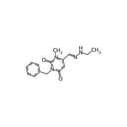 CCNN=Cc1cc(=O)n(Cc2ccccc2)c(=O)n1C